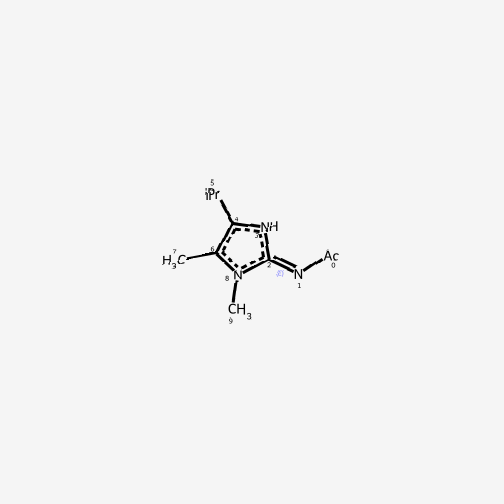 CC(=O)/N=c1\[nH]c(C(C)C)c(C)n1C